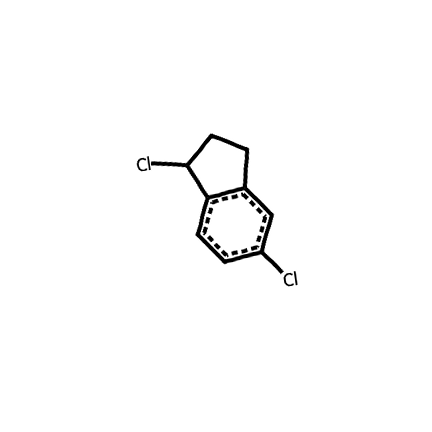 Clc1ccc2c(c1)CCC2Cl